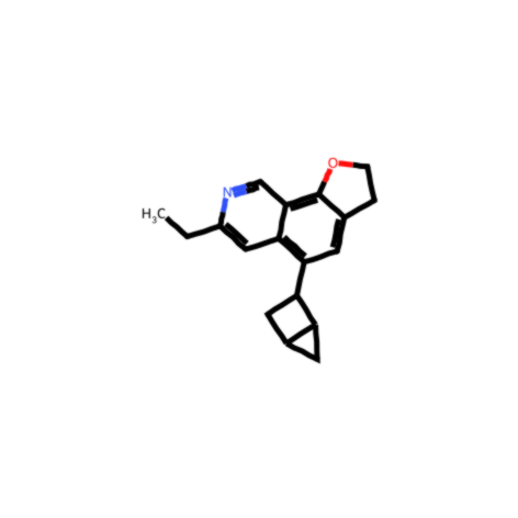 CCc1cc2c(C3CC4CC43)cc3c(c2cn1)OCC3